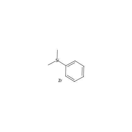 C[Si](C)c1ccccc1.[Zr]